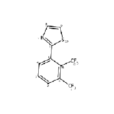 FC(F)(F)c1cccc(-c2n[c]cs2)c1C(F)(F)F